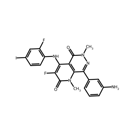 Cn1nc(-c2cccc(N)c2)c2c(c(Nc3ccc(I)cc3F)c(F)c(=O)n2C)c1=O